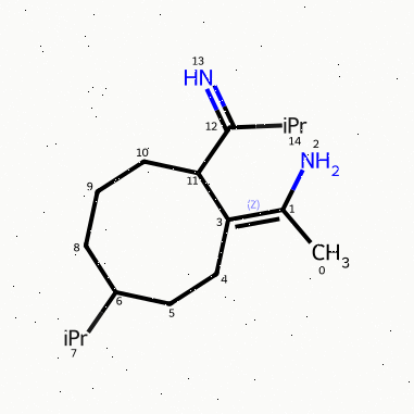 C/C(N)=C1\CCC(C(C)C)CCCC1C(=N)C(C)C